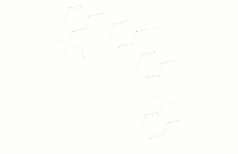 CCOC(=O)N=S(C)(=O)c1cccc(Nc2ncc(-c3ccc(NS(=O)(=O)c4cccc(Cl)c4Cl)c(F)c3)c(OC)n2)c1